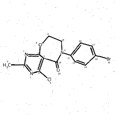 Cc1nc(Cl)c2c(n1)OCCN(c1ccc(Br)cc1)C2=O